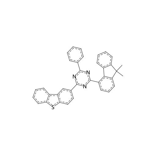 CC1(C)c2ccccc2-c2c(-c3nc(-c4ccccc4)nc(-c4ccc5sc6ccccc6c5c4)n3)cccc21